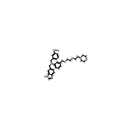 COc1cccc(CN(Cc2ccc3nc[nH]c3c2)c2cccc(COCCOCCN3CCOCC3)c2)c1